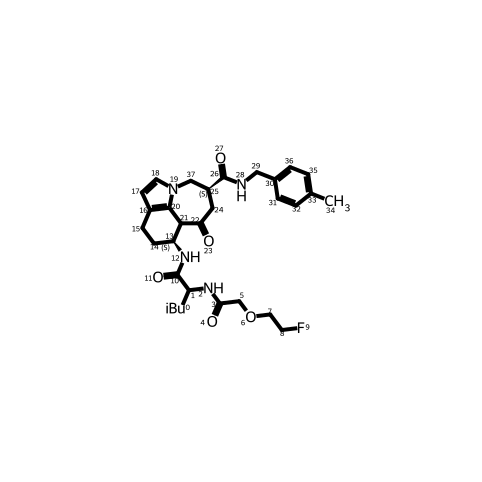 CCC(C)C(NC(=O)COCCF)C(=O)N[C@H]1CCc2ccn3c2C1C(=O)C[C@H](C(=O)NCc1ccc(C)cc1)C3